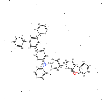 c1ccc(-c2cc(-c3ccccc3)cc(-c3ccc(N(c4ccccc4)c4ccc(-c5ccc6c(c5)oc5ccccc56)cc4)cc3)c2)cc1